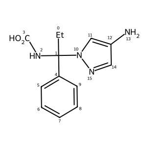 CCC(NC(=O)O)(c1ccccc1)n1cc(N)cn1